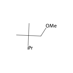 COCC(C)(C)C(C)C